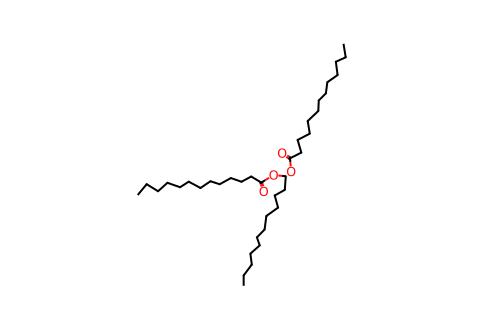 CCCCCCCCCCCCC(=O)OC(CCCCCCCCCCC)OC(=O)CCCCCCCCCCCC